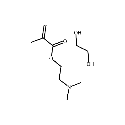 C=C(C)C(=O)OCCN(C)C.OCCO